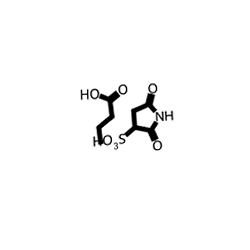 CCCC(=O)O.O=C1CC(S(=O)(=O)O)C(=O)N1